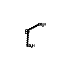 O=C(O)CCCCCCCCCCCCC(=O)OC(=O)CCCCCCCCCCCCC(=O)O